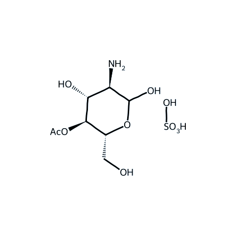 CC(=O)O[C@H]1[C@H](O)[C@@H](N)C(O)O[C@@H]1CO.O=S(=O)(O)O